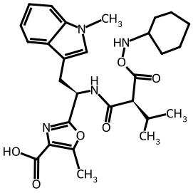 Cc1oc([C@@H](Cc2cn(C)c3ccccc23)NC(=O)[C@@H](C(=O)ONC2CCCCC2)C(C)C)nc1C(=O)O